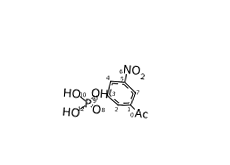 CC(=O)c1cccc([N+](=O)[O-])c1.O=P(O)(O)O